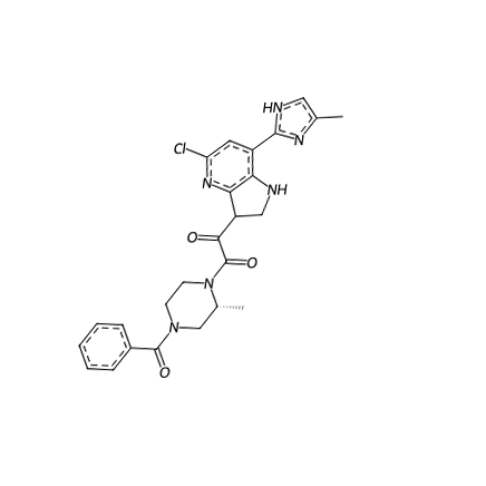 Cc1c[nH]c(-c2cc(Cl)nc3c2NCC3C(=O)C(=O)N2CCN(C(=O)c3ccccc3)C[C@H]2C)n1